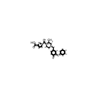 C[C@H]1CN(Cc2ccc(F)c(Oc3ccccc3)c2)CCN1C(=O)n1ccc(C(=O)O)n1